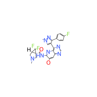 COc1cc2ncnc(-c3cn(C)nc3-c3ccc(F)cc3)c2nc1NC(=O)[C@]12CN(C)C[C@H]1C2(F)F